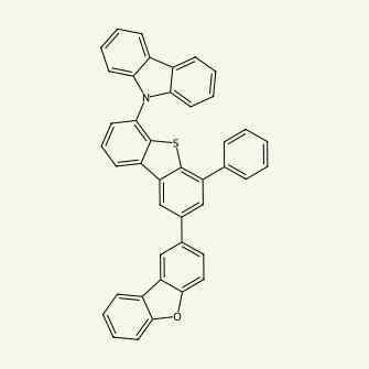 c1ccc(-c2cc(-c3ccc4oc5ccccc5c4c3)cc3c2sc2c(-n4c5ccccc5c5ccccc54)cccc23)cc1